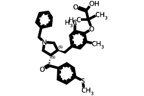 CSc1ccc(C(=O)[C@@H]2CN(Cc3ccccc3)C[C@H]2Cc2cc(C)c(OC(C)(C)C(=O)O)c(C)c2)cc1